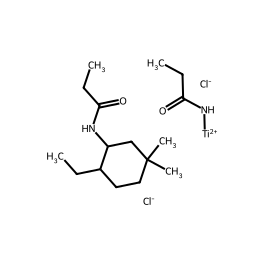 CCC(=O)NC1CC(C)(C)CCC1CC.CCC(=O)[NH][Ti+2].[Cl-].[Cl-]